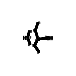 CCN(O)CC.CNC